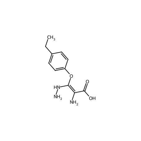 CCc1ccc(O/C(NN)=C(/N)C(=O)O)cc1